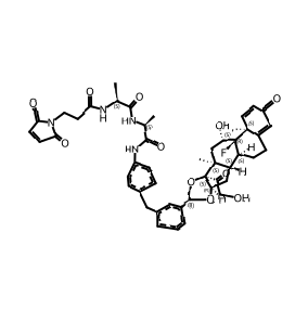 C[C@H](NC(=O)CCN1C(=O)C=CC1=O)C(=O)N[C@@H](C)C(=O)Nc1ccc(Cc2cccc([C@@H]3O[C@@H]4C[C@H]5[C@@H]6CCC7=CC(=O)C=C[C@]7(C)[C@@]6(F)[C@@H](O)C[C@]5(C)[C@]4(C(=O)CO)O3)c2)cc1